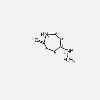 CNC1CCNC(=O)CC1